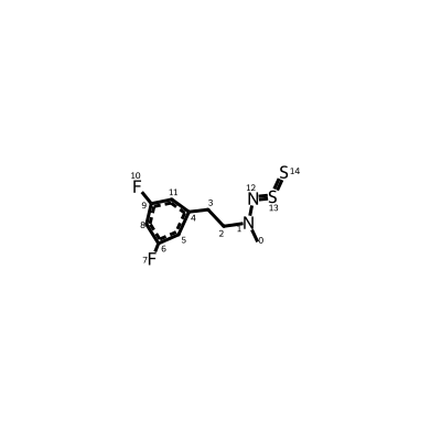 CN(CCc1cc(F)cc(F)c1)N=S=S